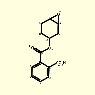 O=C(O)c1ccccc1C(=O)OC1CCC2OC2C1